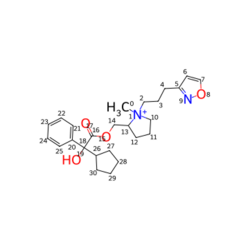 C[N+]1(CCCc2ccon2)CCCC1COC(=O)C(O)(c1ccccc1)C1CCCC1